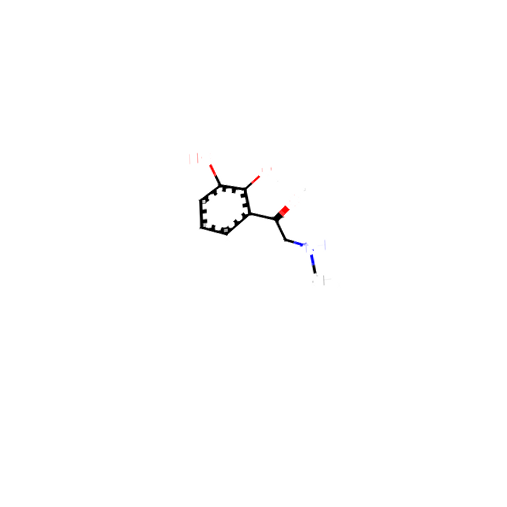 CNCC(=O)c1cccc(O)c1O